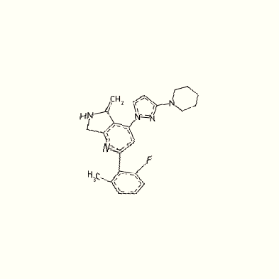 C=C1NCc2nc(-c3c(C)cccc3F)cc(-n3ccc(N4CCCCC4)n3)c21